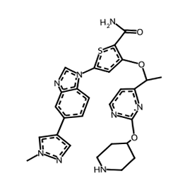 CC(Oc1cc(-n2cnc3cc(-c4cnn(C)c4)ccc32)sc1C(N)=O)c1ccnc(OC2CCNCC2)n1